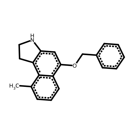 Cc1cccc2c(OCc3ccccc3)cc3c(c12)CCN3